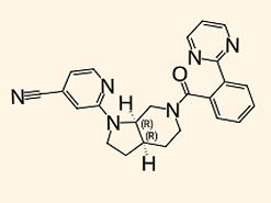 N#Cc1ccnc(N2CC[C@@H]3CCN(C(=O)c4ccccc4-c4ncccn4)C[C@@H]32)c1